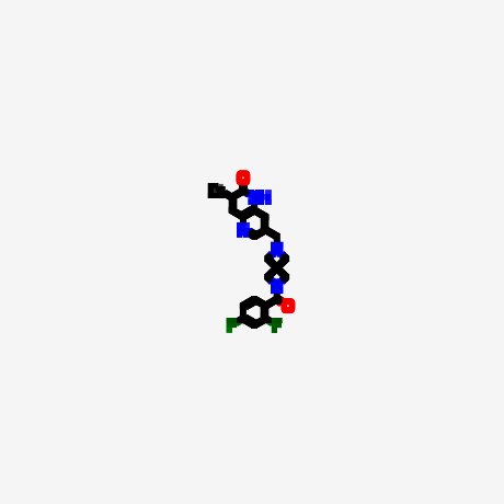 CCc1cc2ncc(CN3CC4(C3)CN(C(=O)c3ccc(F)cc3F)C4)cc2[nH]c1=O